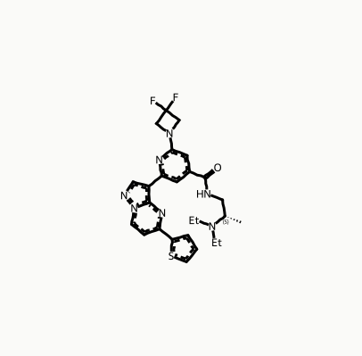 CCN(CC)[C@@H](C)CNC(=O)c1cc(-c2cnn3ccc(-c4cccs4)nc23)nc(N2CC(F)(F)C2)c1